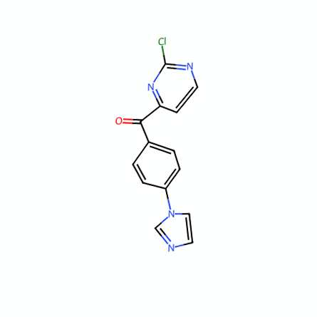 O=C(c1ccc(-n2ccnc2)cc1)c1ccnc(Cl)n1